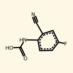 N#Cc1cc(F)ccc1NC(=O)O